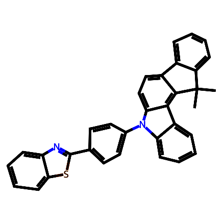 CC1(C)c2ccccc2-c2ccc3c(c21)c1ccccc1n3-c1ccc(-c2nc3ccccc3s2)cc1